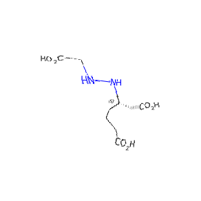 O=C(O)CNN[C@@H](CC(=O)O)C(=O)O